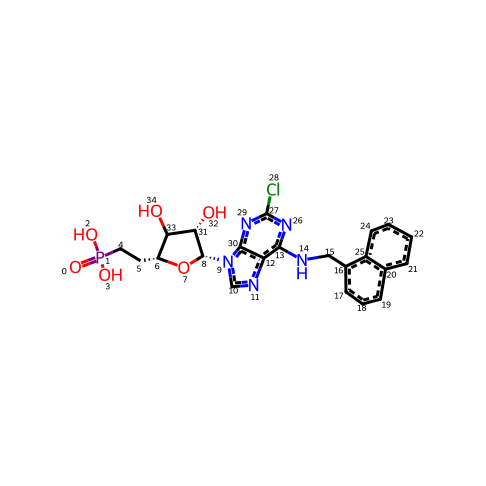 O=P(O)(O)CC[C@H]1O[C@@H](n2cnc3c(NCc4cccc5ccccc45)nc(Cl)nc32)[C@@H](O)C1O